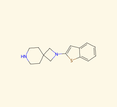 c1ccc2sc(N3CC4(CCNCC4)C3)cc2c1